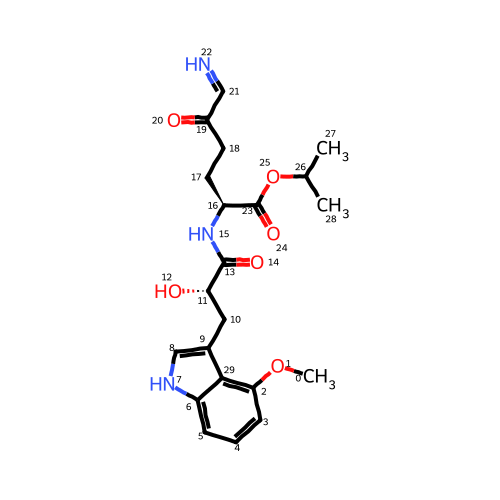 COc1cccc2[nH]cc(C[C@H](O)C(=O)N[C@@H](CCC(=O)C=N)C(=O)OC(C)C)c12